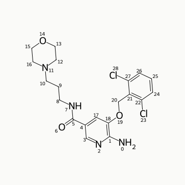 Nc1ncc(C(=O)NCCCN2CCOCC2)cc1OCc1c(Cl)cccc1Cl